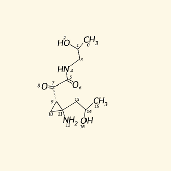 CC(O)CNC(=O)C(=O)[C@H]1CC1(N)CC(C)O